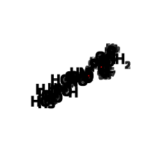 Cc1c(-c2cccc(CCC(=O)NC(CCC(=O)NC(CCC(=O)NCC(N)C(=O)NC(CS)C(=O)O)C(=O)O)C(=O)O)c2)c(=O)n(C[C@H](N)c2ccccc2)c(=O)n1Cc1c(F)cccc1F